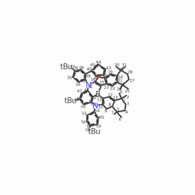 CC1(C)CCC(C)(C)C2CC3=C(C=C21)B1C2=C(Cc4cc5c(cc42)C(C)(C)CCC5(C)C)N(c2ccc(C(C)(C)C)cc2-c2ccccc2)c2cc(C(C)(C)C)cc(c21)N3c1ccc(C(C)(C)C)cc1